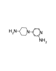 Nc1cc(N2CCC(N)CC2)ccn1